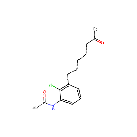 CCC(=O)CCCCCc1cccc(NC(=O)C(C)CC)c1Cl